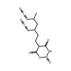 CC(CC(CCC1C(=O)N[N+](=O)OC1=O)N=C=O)N=C=O